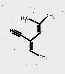 C/C=C(/C#N)C=C(C)C